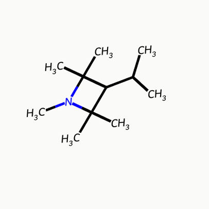 CC(C)C1C(C)(C)N(C)C1(C)C